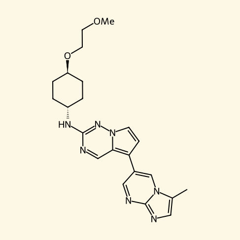 COCCO[C@H]1CC[C@H](Nc2ncc3c(-c4cnc5ncc(C)n5c4)ccn3n2)CC1